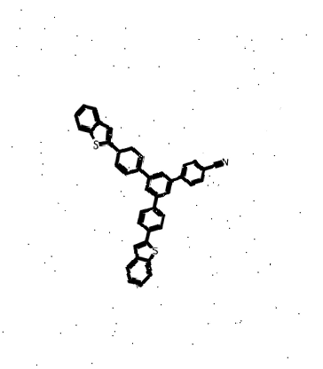 N#Cc1ccc(-c2cc(C3=CCC(c4cc5ccccc5s4)C=C3)cc(-c3ccc(-c4cc5ccccc5s4)cc3)c2)cc1